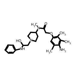 Cc1cc(OCC(=O)N(C)C2CCN(CC(O)Nc3ccccc3)CC2)c(C)c(C)c1N